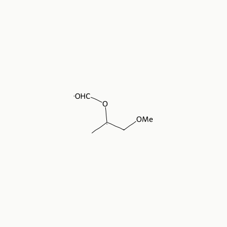 COC[C](C)O[C]=O